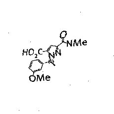 CNC(=O)c1cc(C(=O)O)n([C@@H](C)c2cccc(OC)c2)n1